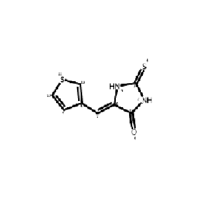 O=C1NC(=S)NC1=Cc1ccsc1